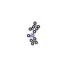 c1ccc(C2=NC(c3cc(-n4c5ccccc5c5cc6c7ccccc7n(-c7ccccc7)c6cc54)c4c(c3)sc3ccccc34)=NC(c3ccc4c(c3)C(c3ccccc3)(c3ccccc3)c3ccccc3-4)N2)cc1